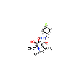 C[C@@H]1C[C@H](C)c2c(C(=O)NCc3ccc(F)cc3F)c(=O)c(O)c(C=O)n21